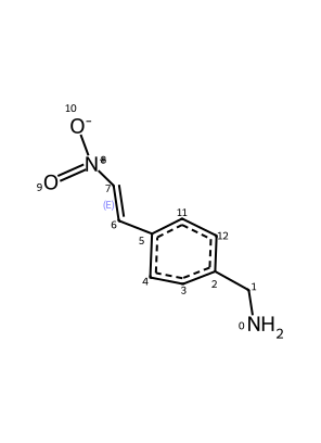 NCc1ccc(/C=C/[N+](=O)[O-])cc1